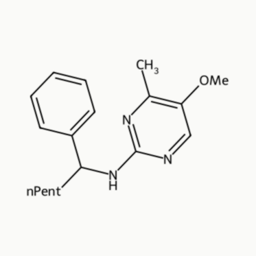 CCCCCC(Nc1ncc(OC)c(C)n1)c1ccccc1